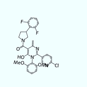 C=C1N=C(c2ccc(Cl)nc2)N(c2c(OC)cccc2OC)C(O)=C1C(=O)N1CCC(c2c(F)cccc2F)C1